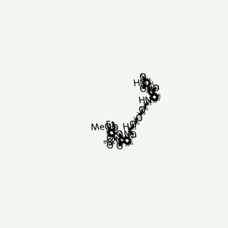 CCOc1cc([C@@H](CS(C)(=O)=O)N2C(=O)c3cccc(NC(=O)CCOCCOCCOCCCNc4cccc5c4CN(C4CCC(=O)NC4=O)C5=O)c3C2=O)ccc1OC